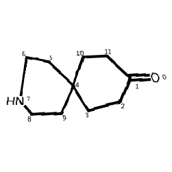 O=C1CCC2(CCNCC2)CC1